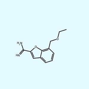 CCOCc1cccc2cc(C(=N)N)oc12